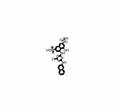 O=S(=O)(O)c1cc(O)c2c(Nc3nc(Cl)nc(Nc4ccc5ccccc5c4)n3)cc(S(=O)(=O)O)cc2c1